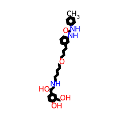 Cc1ccc(NC(=O)Nc2cccc(CCCCOCCCCCCNC[C@@H](O)c3ccc(O)c(CO)c3)c2)cc1